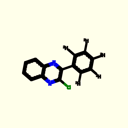 [2H]c1c([2H])c([2H])c(-c2nc3ccccc3nc2Cl)c([2H])c1[2H]